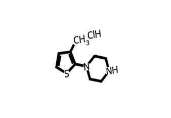 Cc1ccsc1N1CCNCC1.Cl